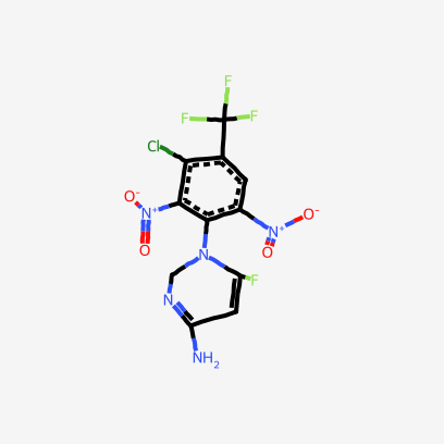 NC1=NCN(c2c([N+](=O)[O-])cc(C(F)(F)F)c(Cl)c2[N+](=O)[O-])C(F)=C1